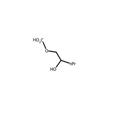 CCCC(O)COC(=O)O